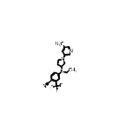 CCN(c1ccc(C#N)c(C(F)(F)F)c1)C1CCN(c2cncc(C)c2)C1